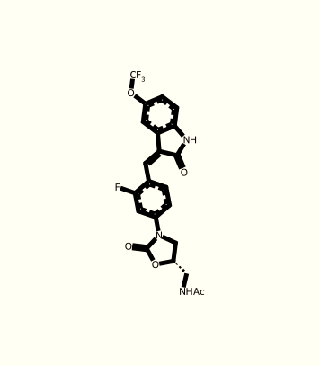 CC(=O)NC[C@H]1CN(c2ccc(/C=C3\C(=O)Nc4ccc(OC(F)(F)F)cc43)c(F)c2)C(=O)O1